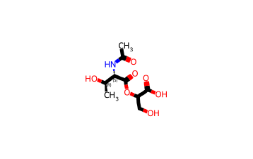 CC(=O)N[C@H](C(=O)OC(CO)C(=O)O)[C@@H](C)O